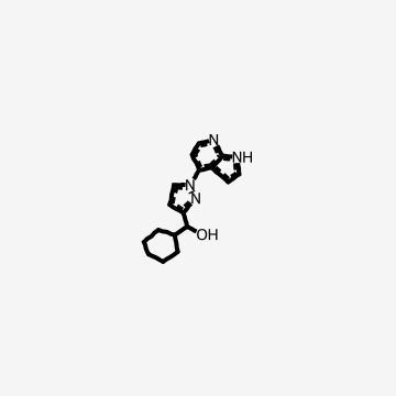 OC(c1ccn(-c2ccnc3[nH]ccc23)n1)C1CCCCC1